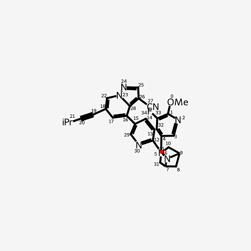 COc1ncc(CN2C3CC2CN(c2ccc(-c4cc(C#CC(C)C)cn5ncc(C#N)c45)cn2)C3)cc1F